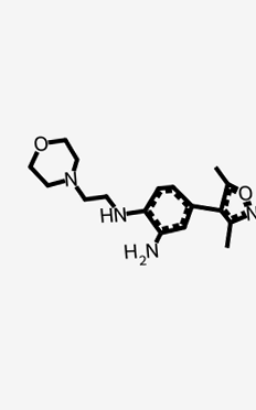 Cc1noc(C)c1-c1ccc(NCCN2CCOCC2)c(N)c1